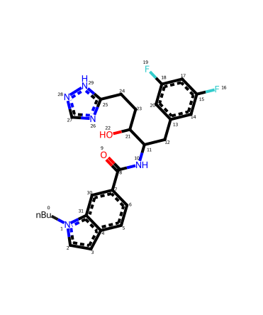 CCCCn1ccc2ccc(C(=O)NC(Cc3cc(F)cc(F)c3)C(O)CCc3ncn[nH]3)cc21